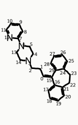 C(CCN1CCN(c2ccccn2)CC1)=C1c2ccccc2CCc2ccccc21